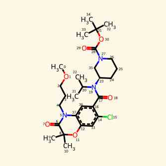 COCCCN1C(=O)C(C)(C)Oc2cc(Cl)c(C(=O)N(C(C)C)[C@@H]3CCCN(C(=O)OC(C)(C)C)C3)cc21